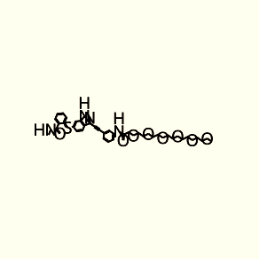 CNC(=O)c1ccccc1Sc1ccc2c(C#Cc3cccc(NC(=O)COCCOCCOCCOCCOCCOC)c3)n[nH]c2c1